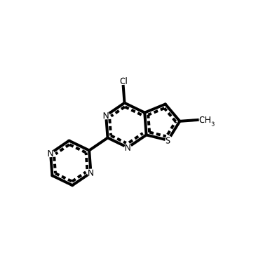 Cc1cc2c(Cl)nc(-c3cnccn3)nc2s1